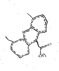 Cc1cccc2c(C(=O)O)c3cccc(C)c3nc12